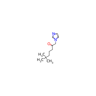 CC(C)(C)CCCC(=O)Cn1ccnc1